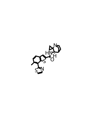 Cc1ccc2cc(C(=O)N[C@@H]3C4CCN(CC4)C34CC4)sc2c1-c1nccs1